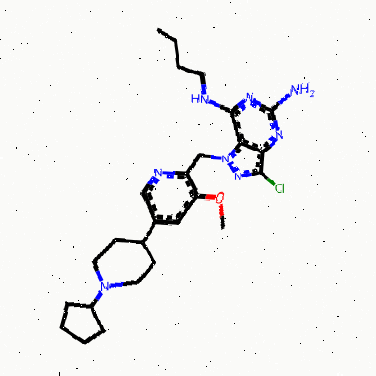 CCCCNc1nc(N)nc2c(Cl)nn(Cc3ncc(C4CCN(C5CCCC5)CC4)cc3OC)c12